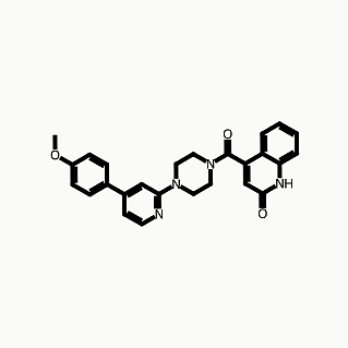 COc1ccc(-c2ccnc(N3CCN(C(=O)c4cc(=O)[nH]c5ccccc45)CC3)c2)cc1